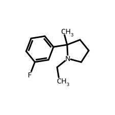 CCN1CCCC1(C)c1cccc(F)c1